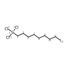 Cl[Si](Cl)(Cl)CCCCCCCCI